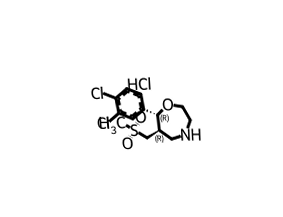 CS(=O)(=O)C[C@@H]1CNCCO[C@H]1c1ccc(Cl)c(Cl)c1.Cl